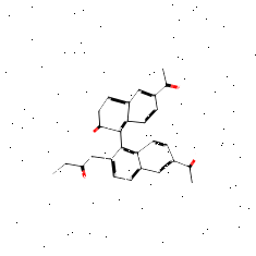 CCC(=O)Cc1ccc2cc(C(C)=O)ccc2c1C1=c2ccc(C(C)=O)cc2=CCC1=O